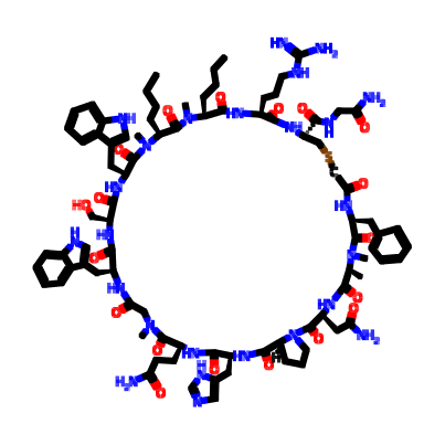 CCCC[C@H]1C(=O)N(C)[C@@H](CCCC)C(=O)N[C@@H](CCCNC(=N)N)C(=O)N[C@H](C(=O)NCC(N)=O)CSCC(=O)N[C@@H](Cc2ccccc2)C(=O)N(C)[C@@H](C)C(=O)N[C@@H](CC(N)=O)C(=O)N2CCC[C@H]2C(=O)N[C@@H](Cc2cnc[nH]2)C(=O)N[C@@H](CCC(N)=O)C(=O)N(C)CC(=O)N[C@@H](Cc2c[nH]c3ccccc23)C(=O)N[C@@H](CO)C(=O)N[C@@H](Cc2c[nH]c3ccccc23)C(=O)N1C